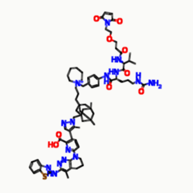 Cc1c(Nc2nc3ccccc3s2)nnc2c1CCCN2c1ccc(-c2cnn(CC34CC5(C)CC(C)(CC(CCC[N+]6(Cc7ccc(NC(=O)[C@H](CCCNC(N)=O)NC(=O)[C@@H](NC(=O)CCOCCN8C(=O)C=CC8=O)C(C)C)cc7)CCCCCC6)(C5)C3)C4)c2C)c(C(=O)O)n1